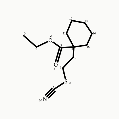 CCOC(=O)C1(CCSC#N)CCCCC1